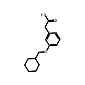 O=C(O)Cc1cccc(OCC2CCCCC2)c1